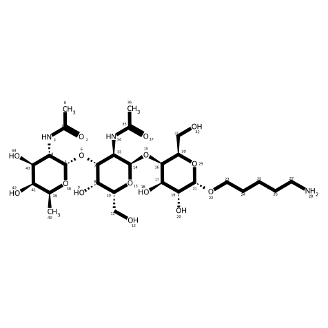 CC(=O)N[C@@H]1[C@H](O[C@H]2[C@@H](O)[C@@H](CO)O[C@H](O[C@@H]3[C@H](O)[C@@H](O)[C@@H](OCCCCCN)O[C@@H]3CO)[C@@H]2NC(C)=O)O[C@@H](C)[C@@H](O)[C@H]1O